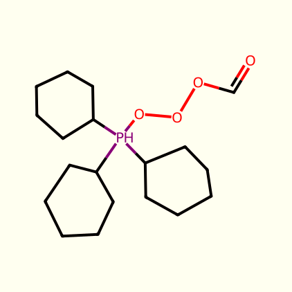 O=COOO[PH](C1CCCCC1)(C1CCCCC1)C1CCCCC1